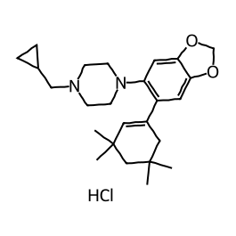 CC1(C)C=C(c2cc3c(cc2N2CCN(CC4CC4)CC2)OCO3)CC(C)(C)C1.Cl